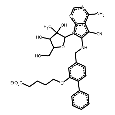 CCOC(=O)CCCCOc1cc(CNc2c(C#N)c3c(N)ncnc3n2C2OC(CO)C(O)C2(C)O)ccc1-c1ccccc1